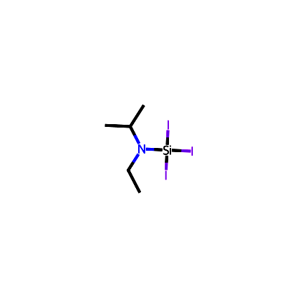 CCN(C(C)C)[Si](I)(I)I